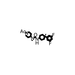 CC(=O)N1CCC(N(C)C(=O)N[C@H]2CC[C@@](C)(c3cc(F)cc(F)c3)CC2)CC1